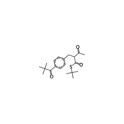 CC(=O)C(Cc1ccc(C(=O)C(C)(C)C)cc1)C(=O)SC(C)(C)C